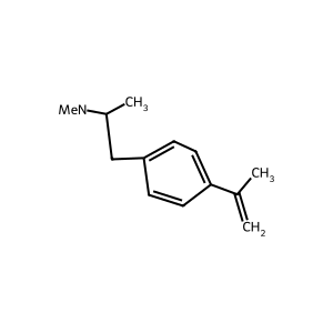 C=C(C)c1ccc(CC(C)NC)cc1